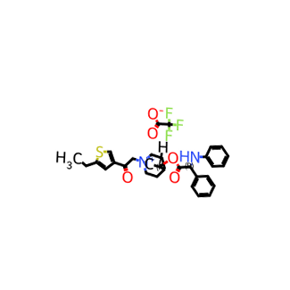 CCc1cc(C(=O)C[N+]23CCC(CC2)[C@@H](OC(=O)[C@H](Nc2ccccc2)c2ccccc2)C3)cs1.O=C([O-])C(F)(F)F